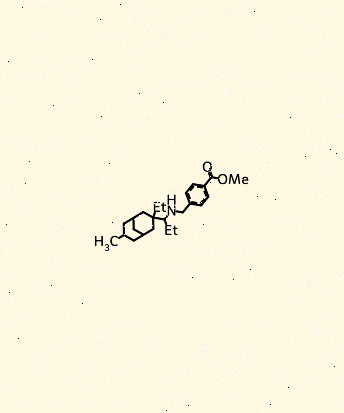 CCC(NCc1ccc(C(=O)OC)cc1)C1(CC)CC2CC(C)CC(C2)C1